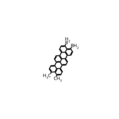 Bc1ccc2c3ccc4c5ccc(C)c6c(C)ccc(c7ccc(c8ccc(B)c1c28)c3c47)c65